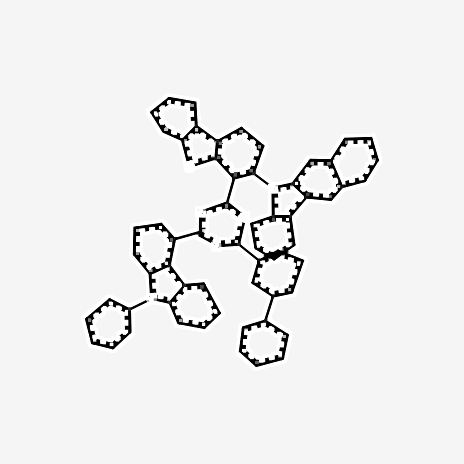 c1ccc(-c2cccc(-c3nc(-c4c(-n5c6ccccc6c6cc7ccccc7cc65)ccc5c4oc4ccccc45)nc(-c4cccc5c4c4ccccc4n5-c4ccccc4)n3)c2)cc1